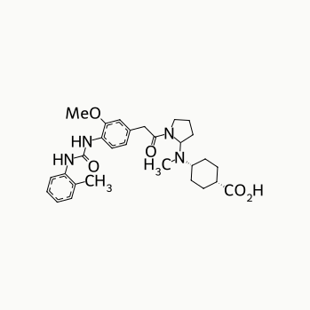 COc1cc(CC(=O)N2CCCC2N(C)[C@H]2CC[C@@H](C(=O)O)CC2)ccc1NC(=O)Nc1ccccc1C